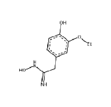 CCOc1cc(CC(=N)NO)ccc1O